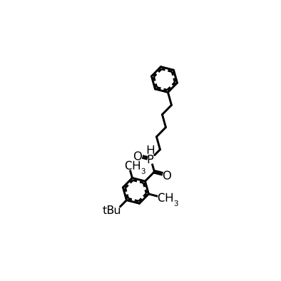 Cc1cc(C(C)(C)C)cc(C)c1C(=O)[PH](=O)CCCCCc1ccccc1